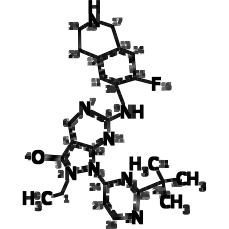 CCn1c(=O)c2cnc(Nc3cc4c(cc3F)CNCC4)nc2n1-c1ccnc(C(C)(C)C)n1